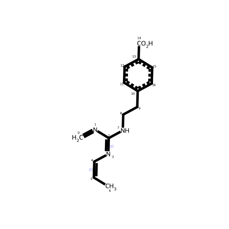 C=N/C(=N\C=C/C)NCCc1ccc(C(=O)O)cc1